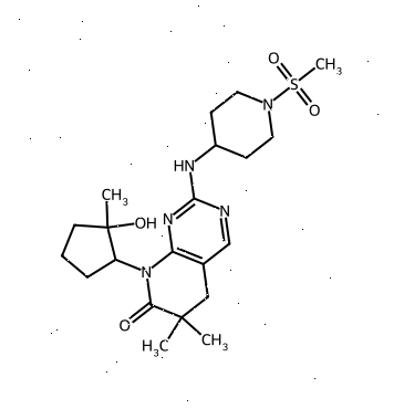 CC1(C)Cc2cnc(NC3CCN(S(C)(=O)=O)CC3)nc2N(C2CCCC2(C)O)C1=O